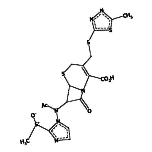 CC(=O)N(C1C(=O)N2C(C(=O)O)=C(CSc3nnc(C)s3)CSC12)n1ccnc1[S+](C)[O-]